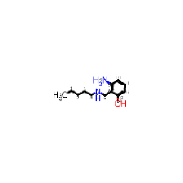 CCCCCNCc1c(N)cccc1O